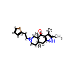 CCc1c(C)[nH]c2c1C(=O)[C@@H]1CN(CCc3cccs3)CC[C@H]1C2